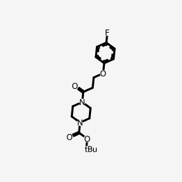 CC(C)(C)OC(=O)N1CCN(C(=O)CCOc2ccc(F)cc2)CC1